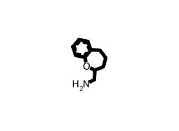 NCC1CCCc2ccccc2O1